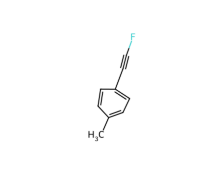 Cc1ccc(C#CF)cc1